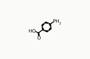 O=C(O)c1ccc(P)cc1